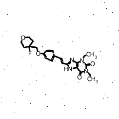 CCn1c(=O)c2[nH]c(C=Cc3ccc(OCC4(F)CCOCC4)cc3)nc2n(CC)c1=O